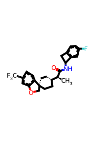 C[C@H](C(=O)NC1Cc2ccc(F)cc21)[C@H]1CC[C@]2(CC1)COc1cc(C(F)(F)F)ccc12